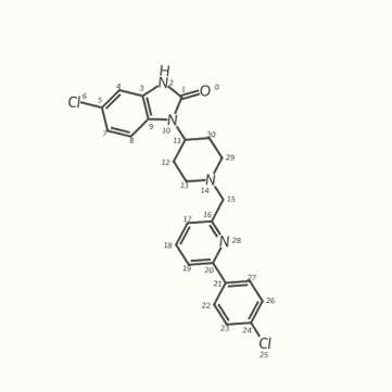 O=c1[nH]c2cc(Cl)ccc2n1C1CCN(Cc2cccc(-c3ccc(Cl)cc3)n2)CC1